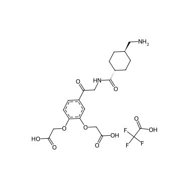 NC[C@H]1CC[C@H](C(=O)NCC(=O)c2ccc(OCC(=O)O)c(OCC(=O)O)c2)CC1.O=C(O)C(F)(F)F